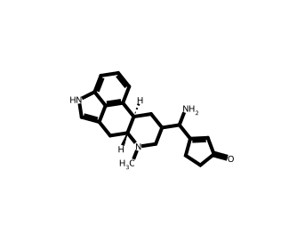 CN1CC(C(N)C2=CC(=O)CC2)C[C@@H]2c3cccc4[nH]cc(c34)C[C@H]21